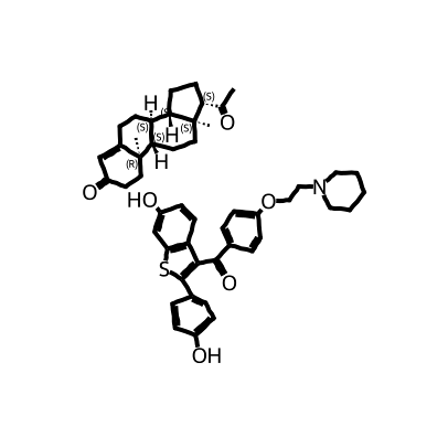 CC(=O)[C@H]1CC[C@H]2[C@@H]3CCC4=CC(=O)CC[C@]4(C)[C@H]3CC[C@]12C.O=C(c1ccc(OCCN2CCCCC2)cc1)c1c(-c2ccc(O)cc2)sc2cc(O)ccc12